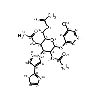 CC(=O)OCC1OC(Sc2cncc(Cl)c2)C(OC(C)=O)C(n2cc(-c3nccs3)nn2)C1OC(C)=O